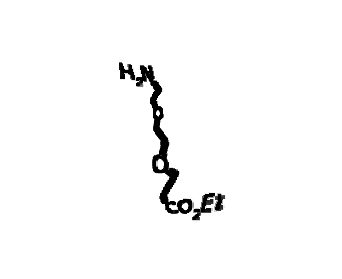 CCOC(=O)CCOCCOCCN